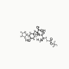 CC(C)(C)OC(=O)CC[C@H](N)C(=O)N[C@@H](Cc1ccc(O)c(C2CCCC2)c1)C(=O)O